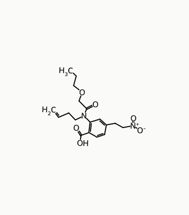 C=CCCN(C(=O)COCCC)c1cc(CC[N+](=O)[O-])ccc1C(=O)O